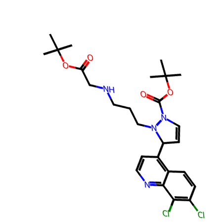 CC(C)(C)OC(=O)CNCCCN1C(c2ccnc3c(Cl)c(Cl)ccc23)C=CN1C(=O)OC(C)(C)C